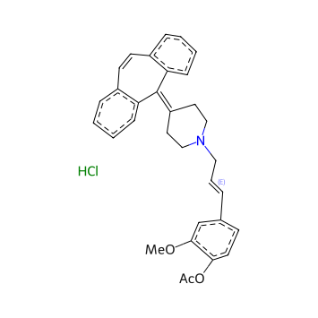 COc1cc(/C=C/CN2CCC(=C3c4ccccc4C=Cc4ccccc43)CC2)ccc1OC(C)=O.Cl